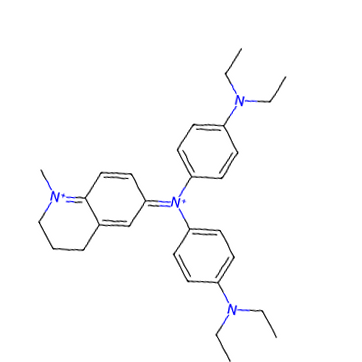 CCN(CC)c1ccc([N+](=C2C=CC3=[N+](C)CCCC3=C2)c2ccc(N(CC)CC)cc2)cc1